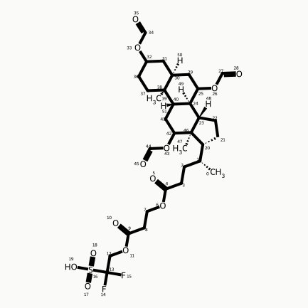 C[C@H](CCC(=O)OCCC(=O)OCC(F)(F)S(=O)(=O)O)[C@H]1CC[C@H]2[C@@H]3C(OC=O)C[C@@H]4CC(OC=O)CC[C@]4(C)[C@H]3CC(OC=O)[C@]12C